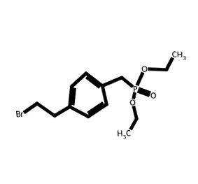 CCOP(=O)(Cc1ccc(CCBr)cc1)OCC